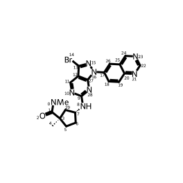 CNC(=O)[C@]1(C)CC[C@@H](Nc2ncc3c(Br)nn(-c4ccc5ncncc5c4)c3n2)C1